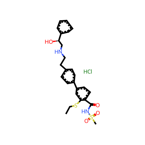 CCSc1cc(-c2ccc(CCNC[C@@H](O)c3ccccc3)cc2)ccc1C(=O)NS(C)(=O)=O.Cl